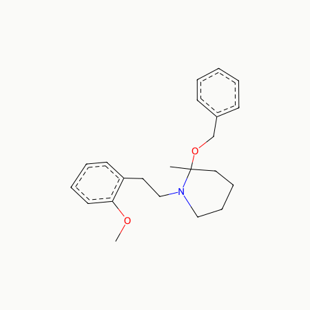 COc1ccccc1CCN1CCCCC1(C)OCc1ccccc1